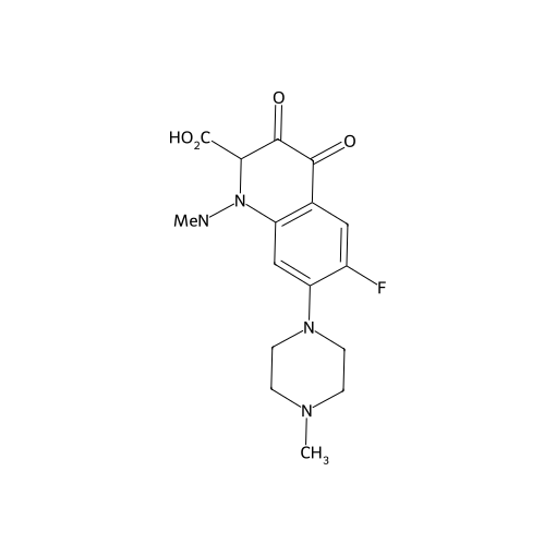 CNN1c2cc(N3CCN(C)CC3)c(F)cc2C(=O)C(=O)C1C(=O)O